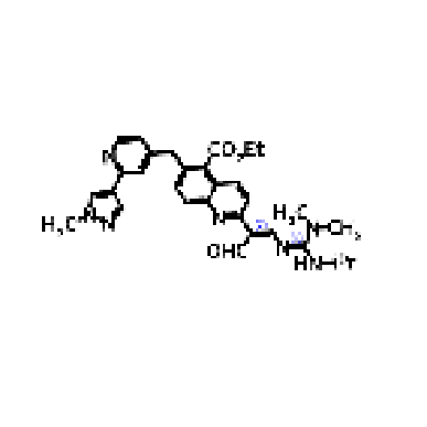 CCOC(=O)c1c(Cc2ccnc(-c3cnn(C)c3)c2)ccc2nc(/C(C=O)=C/N=C(/NC(C)C)N(C)C)ccc12